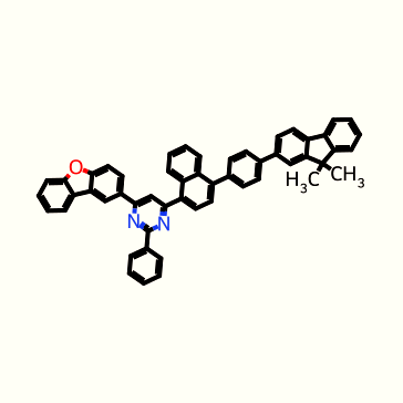 CC1(C)c2ccccc2-c2ccc(-c3ccc(-c4ccc(-c5cc(-c6ccc7oc8ccccc8c7c6)nc(-c6ccccc6)n5)c5ccccc45)cc3)cc21